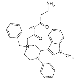 Cn1cc(C2C[N+](CC(=O)NC(=O)CCN)(Cc3ccccc3)CCN2c2ccccc2)c2ccccc21